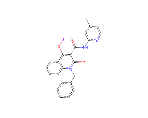 Cc1ccnc(NC(=O)c2c(OI)c3ccccc3n(Cc3ccccc3)c2=O)c1